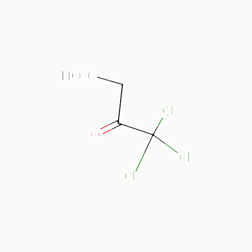 O=C(O)CC(=O)C(Cl)(Cl)Cl